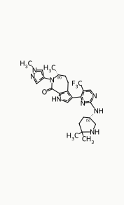 C[C@@H]1CCc2c(-c3nc(N[C@H]4CCC(C)(C)NC4)ncc3C(F)(F)F)c[nH]c2C(=O)N1c1cnn(C)c1